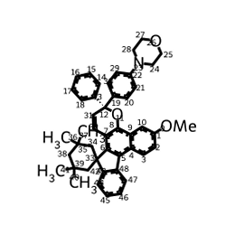 COc1ccc2c3c(c4c(c2c1)O[C@](c1ccccc1)(c1ccc(N2CCOCC2)cc1)C=C4)C1(CC(C)(C)CC(C)(C)C1)c1ccccc1-3